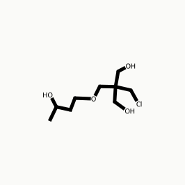 CC(O)CCOCC(CO)(CO)CCl